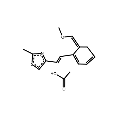 CC(=O)O.CO/C=C1/CC=CC=C1C=Cc1csc(C)n1